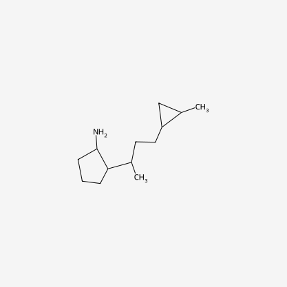 CC1CC1CCC(C)C1CCCC1N